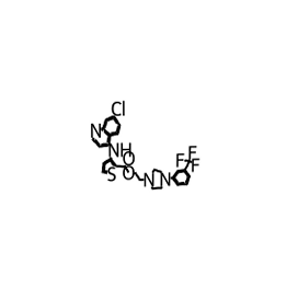 O=C(OCCN1CCN(c2cccc(C(F)(F)F)c2)CC1)c1sccc1Nc1ccnc2cc(Cl)ccc12